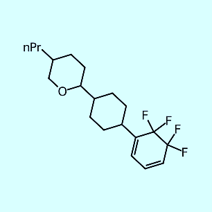 CCCC1CCC(C2CCC(C3=CC=CC(F)(F)C3(F)F)CC2)OC1